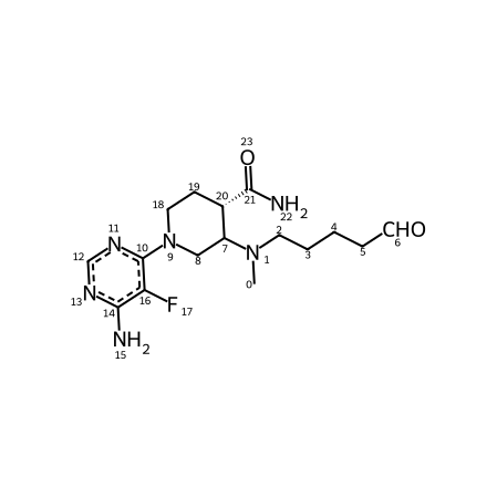 CN(CCCCC=O)C1CN(c2ncnc(N)c2F)CC[C@@H]1C(N)=O